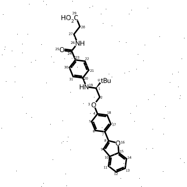 CC(C)(C)[C@@H](COc1ccc(-c2cc3ccccc3o2)cc1)Nc1ccc(C(=O)NCCC(=O)O)cc1